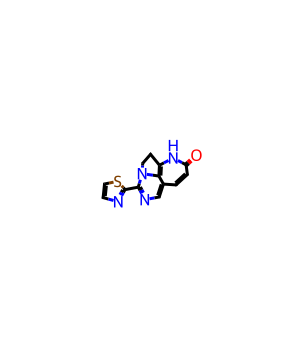 O=C1C=CC2=CN=C(c3nccs3)N3CCC(=C23)N1